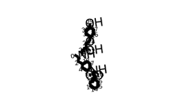 CC(Cc1ccc(NS(=O)(=O)c2ccccc2)cc1)NC[C@H](O)COc1ccc(O)cc1